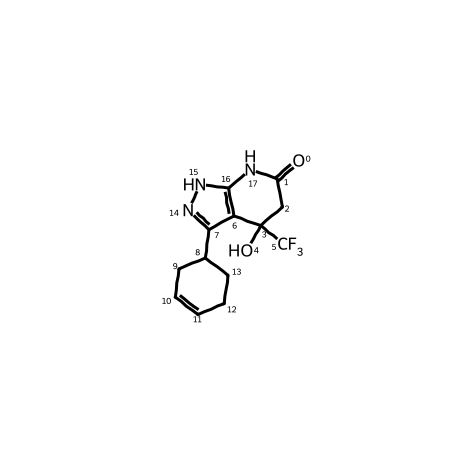 O=C1CC(O)(C(F)(F)F)c2c(C3CC=CCC3)n[nH]c2N1